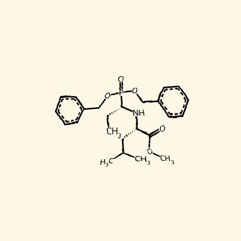 CC[C@@H](N[C@@H](CC(C)C)C(=O)OC)P(=O)(OCc1ccccc1)OCc1ccccc1